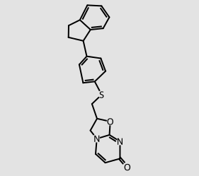 O=c1ccn2c(n1)OC(CSc1ccc(C3CCc4ccccc43)cc1)C2